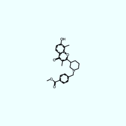 COC(=O)c1ccc(CN2CCCC(c3oc4c(C)c(O)ccc4c(=O)c3C)C2)cc1